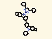 c1ccc(-c2cc(-c3ccccc3)nc(-n3c4ccc(-c5ccc6c(c5)c5cc7c(cc5n6-c5ccccc5)CC7)cc4c4cc5c(cc43)CC5)n2)cc1